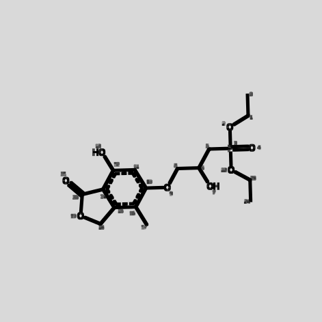 CCOP(=O)(CC(O)COc1cc(O)c2c(c1C)COC2=O)OCC